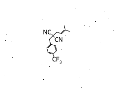 CC(C)=CCC(C#N)(C#N)Cc1ccc(C(F)(F)F)cc1